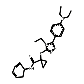 CCN(CC)c1ccc(-c2nnc(SC3(C(=O)NC4C=CC=CC4)CC3)n2CC)cc1